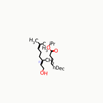 CC(C)=CCC/C(C)=C/CO.CCCCCCCCCCCCCC(=O)OC(C)C